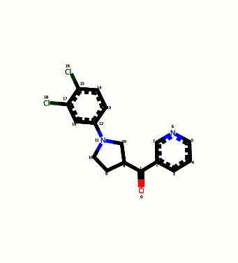 O=C(c1cccnc1)C1CCN(c2ccc(Cl)c(Cl)c2)C1